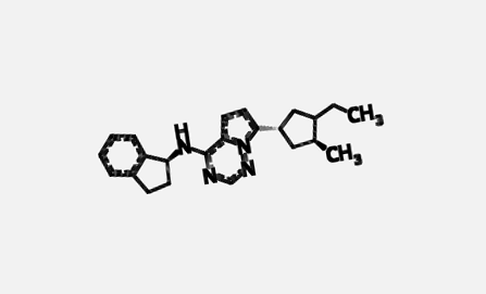 CCC1C[C@@H](c2ccc3c(N[C@H]4CCc5ccccc54)ncnn23)C[C@@H]1C